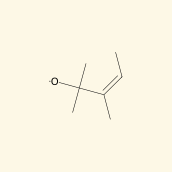 CC=C(C)C(C)(C)[O]